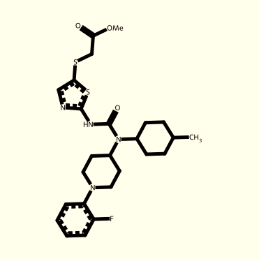 COC(=O)CSc1cnc(NC(=O)N(C2CCC(C)CC2)C2CCN(c3ccccc3F)CC2)s1